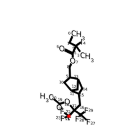 CCC(C)(I)C(=O)OCC1CC2CC1CC2CC(OC(C)=O)(C(F)(F)F)C(F)(F)F